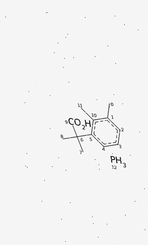 Cc1cccc(C(C)(C)C(=O)O)c1C.P